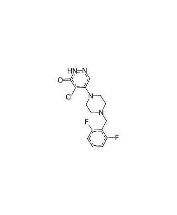 O=c1[nH]ncc(N2CCN(Cc3c(F)cccc3F)CC2)c1Cl